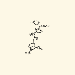 COC(c1cccc(F)c1)n1ncc(NC(=O)Cc2ccc3c(c2)c(C)cn3C)n1